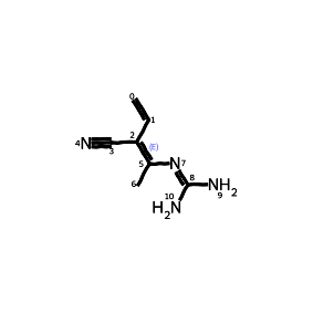 C=C/C(C#N)=C(/C)N=C(N)N